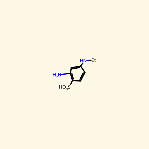 CCNc1ccc(S(=O)(=O)O)c(N)c1